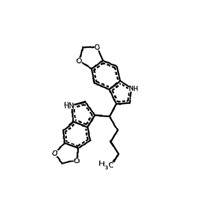 CCCCC(c1c[nH]c2cc3c(cc12)OCO3)c1c[nH]c2cc3c(cc12)OCO3